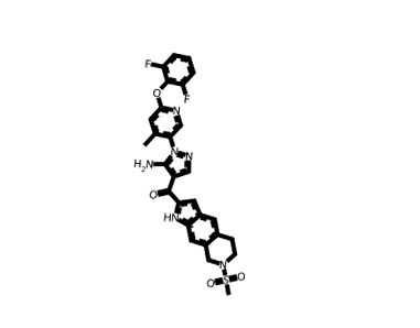 Cc1cc(Oc2c(F)cccc2F)ncc1-n1ncc(C(=O)c2cc3cc4c(cc3[nH]2)CN(S(C)(=O)=O)CC4)c1N